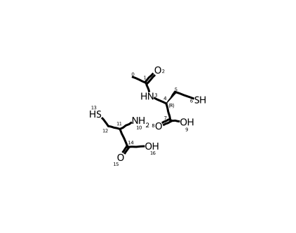 CC(=O)N[C@@H](CS)C(=O)O.NC(CS)C(=O)O